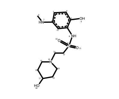 CNc1ccc(O)c(NS(=O)(=O)CCN2CCC(O)CC2)c1